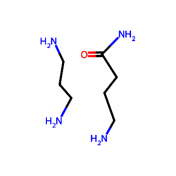 NCCCC(N)=O.NCCCN